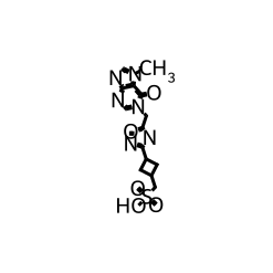 Cn1cnc2ncn(Cc3nc(C4CC(CS(=O)(=O)O)C4)no3)c(=O)c21